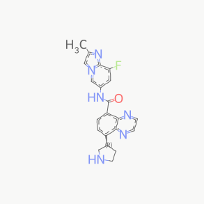 Cc1cn2cc(NC(=O)c3ccc([C@H]4CCNC4)c4nccnc34)cc(F)c2n1